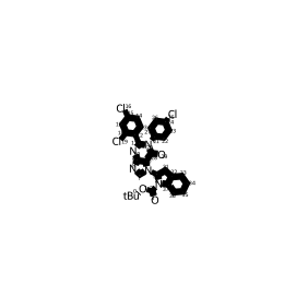 CC(C)(C)OC(=O)n1c(-n2cnc3nc(-c4ccc(Cl)cc4Cl)n(-c4ccc(Cl)cc4)c(=O)c32)cc2ccccc21